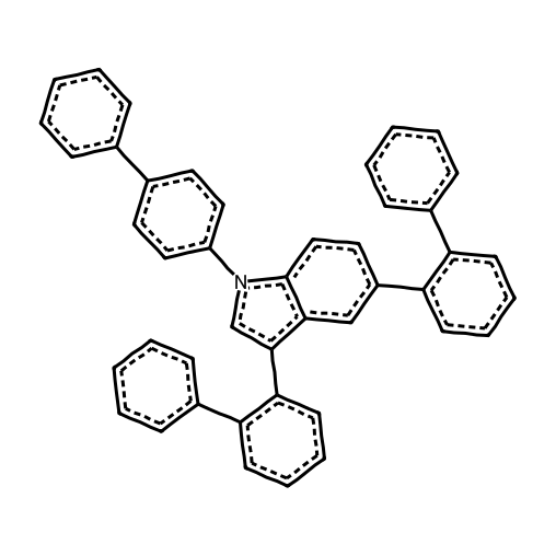 c1ccc(-c2ccc(-n3cc(-c4ccccc4-c4ccccc4)c4cc(-c5ccccc5-c5ccccc5)ccc43)cc2)cc1